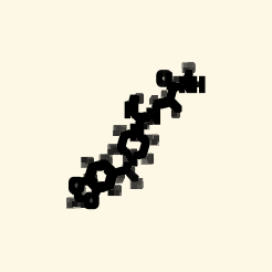 C=N/C(=N\C=C(/C)C(=O)NC)N1CCN([C@@H](C)c2ccc3c(c2)OCO3)CC1